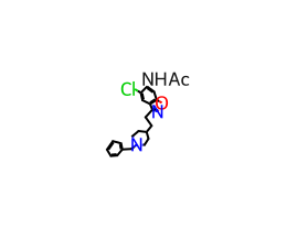 CC(=O)Nc1cc2onc(CCC3CCN(Cc4ccccc4)CC3)c2cc1Cl